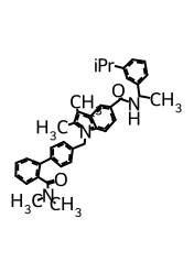 Cc1c(C)n(Cc2ccc(-c3ccccc3C(=O)N(C)C)cc2)c2ccc(C(=O)NC(C)c3cccc(C(C)C)c3)cc12